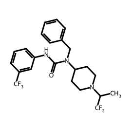 CC(N1CCC(N(Cc2ccccc2)C(=O)Nc2cccc(C(F)(F)F)c2)CC1)C(F)(F)F